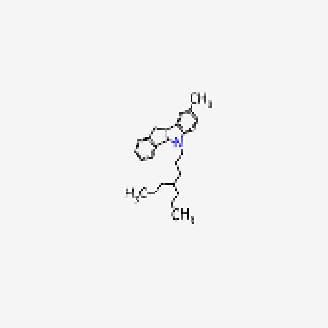 CCCC(CCC)CCCN1c2ccc(C)cc2C2Cc3ccccc3C21